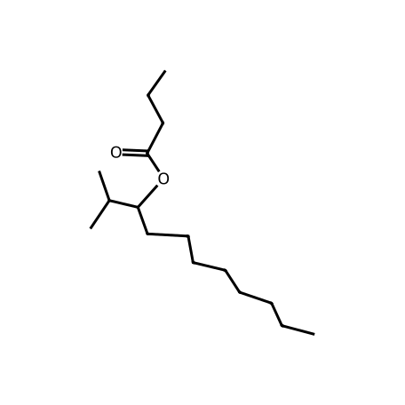 CCCCCCCCC(OC(=O)CCC)C(C)C